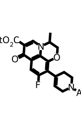 CCOC(=O)c1cn2c3c(c(C4=CCN(C(C)=O)CC4)c(F)cc3c1=O)OCC2C